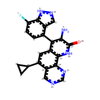 Nc1c(-c2ccc(F)c3[nH]ncc23)c2cc(C3CC3)c3cncnc3c2[nH]c1=O